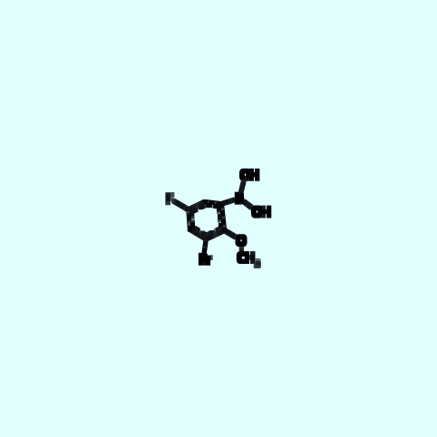 COc1c(Br)cc(F)cc1B(O)O